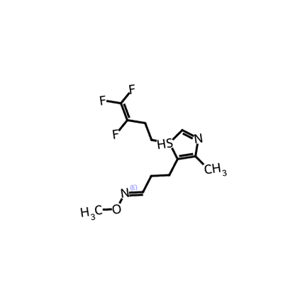 CO/N=C/CCC1=C(C)N=C[SH]1CCC(F)=C(F)F